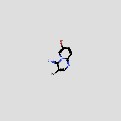 N#Cc1cnc2ccc(Br)cn2c1=N